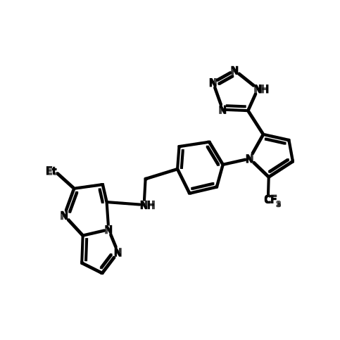 CCc1cc(NCc2ccc(-n3c(-c4nnn[nH]4)ccc3C(F)(F)F)cc2)n2nccc2n1